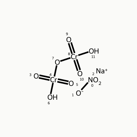 O=[N+]([O-])[O-].[Na+].[O]=[Cr](=[O])([OH])[O][Cr](=[O])(=[O])[OH]